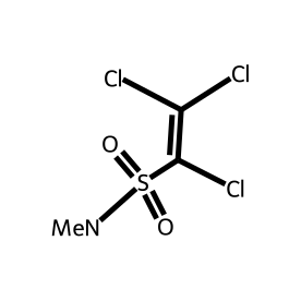 CNS(=O)(=O)C(Cl)=C(Cl)Cl